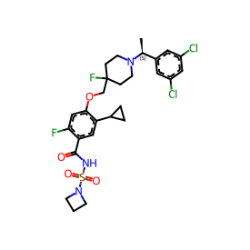 C[C@@H](c1cc(Cl)cc(Cl)c1)N1CCC(F)(COc2cc(F)c(C(=O)NS(=O)(=O)N3CCC3)cc2C2CC2)CC1